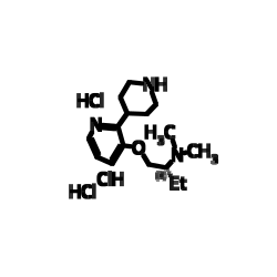 CC[C@H](COc1cccnc1C1CCNCC1)N(C)C.Cl.Cl.Cl